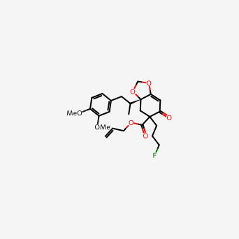 C=CCOC(=O)C1(CCCF)C[C@]2(C(C)Cc3ccc(OC)c(OC)c3)OCOC2=CC1=O